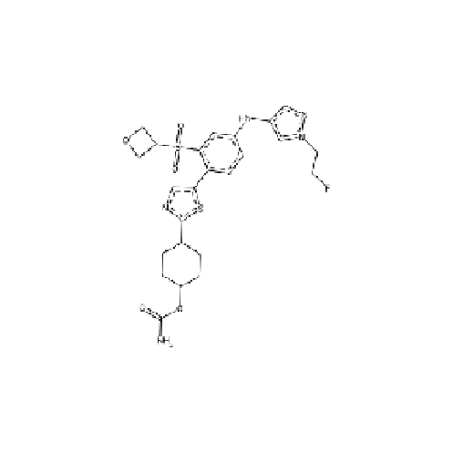 NC(=O)OC1CCC(c2ncc(-c3ccc(Nc4cnn(CCF)c4)cc3S(=O)(=O)C3COC3)s2)CC1